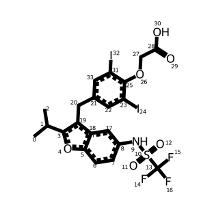 CC(C)c1oc2ccc(NS(=O)(=O)C(F)(F)F)cc2c1Cc1cc(I)c(OCC(=O)O)c(I)c1